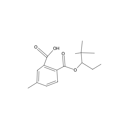 CCC(OC(=O)c1ccc(C)cc1C(=O)O)C(C)(C)C